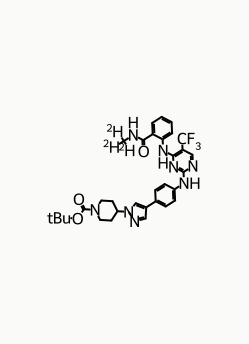 [2H]C([2H])([2H])NC(=O)c1ccccc1Nc1nc(Nc2ccc(-c3cnn(C4CCN(C(=O)OC(C)(C)C)CC4)c3)cc2)ncc1C(F)(F)F